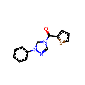 O=C(c1cccs1)N1C=NN(c2ccccc2)C1